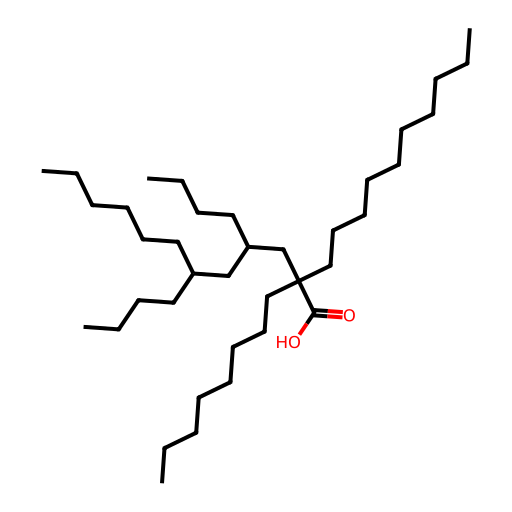 CCCCCCCCCCC(CCCCCCCC)(CC(CCCC)CC(CCCC)CCCCCC)C(=O)O